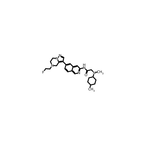 CC1CCC(N(C)CC(=O)Nc2cc3cc(-c4cnn5c4CN(CCF)CC5)ccc3cn2)CC1